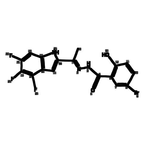 C/C(=N\NC(=O)c1cc(Br)ccc1O)c1cc2c(F)c(F)c(F)cc2[nH]1